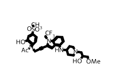 COCC(O)CN1CCC(Nc2cccc3c2cc(C#CCN(C(C)=O)c2ccc(S(C)(=O)=O)cc2O)n3CC(F)(F)F)CC1